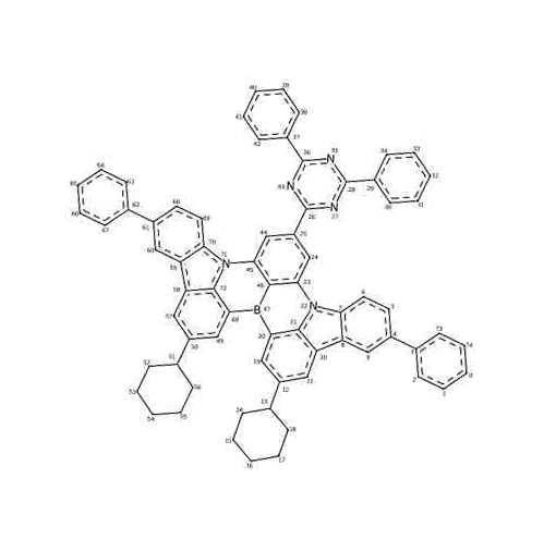 c1ccc(-c2ccc3c(c2)c2cc(C4CCCCC4)cc4c2n3-c2cc(-c3nc(-c5ccccc5)nc(-c5ccccc5)n3)cc3c2B4c2cc(C4CCCCC4)cc4c5cc(-c6ccccc6)ccc5n-3c24)cc1